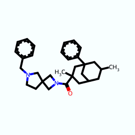 CC1CC2CC(C)(C(=O)N3CC4(CCN(Cc5ccccc5)C4)C3)CC(c3ccccc3)(C1)C2